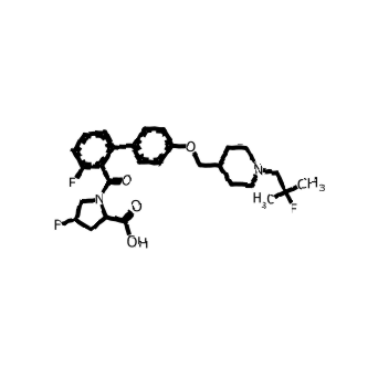 CC(C)(F)CN1CCC(COc2ccc(-c3cccc(F)c3C(=O)N3CC(F)CC3C(=O)O)cc2)CC1